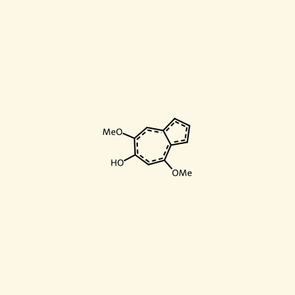 COc1cc2cccc-2c(OC)cc1O